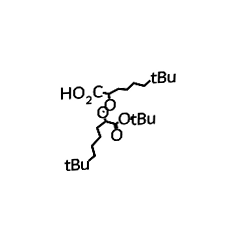 CC(C)(C)CCCCC(OOC(CCCCC(C)(C)C)C(=O)OC(C)(C)C)C(=O)O